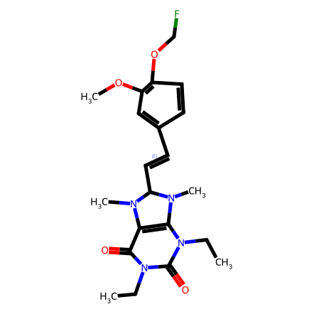 CCn1c2c(c(=O)n(CC)c1=O)N(C)C(/C=C/c1ccc(OCF)c(OC)c1)N2C